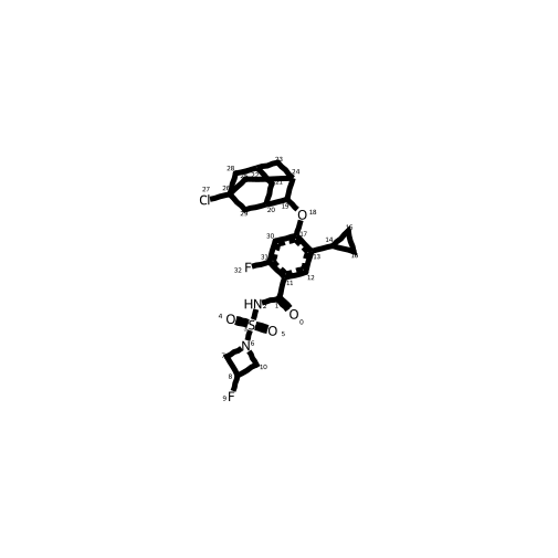 O=C(NS(=O)(=O)N1CC(F)C1)c1cc(C2CC2)c(OC2C3CC4CC2CC(Cl)(C4)C3)cc1F